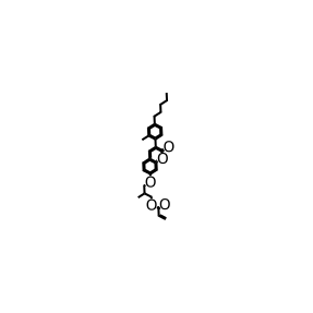 C=CC(=O)OCC(C)COc1ccc2cc(-c3ccc(CCCCC)cc3C)c(=O)oc2c1